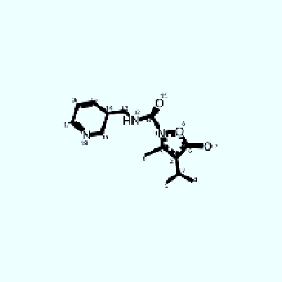 Cc1c(C(C)C)c(=O)on1C(=O)NCC1C=CC=NC1